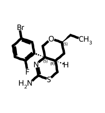 CC[C@H]1C[C@H]2CSC(N)=N[C@@]2(c2cc(Br)ccc2F)CO1